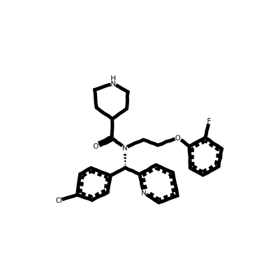 O=C(C1CCNCC1)N(CCOc1ccccc1F)[C@@H](c1ccc(Cl)cc1)c1ccccn1